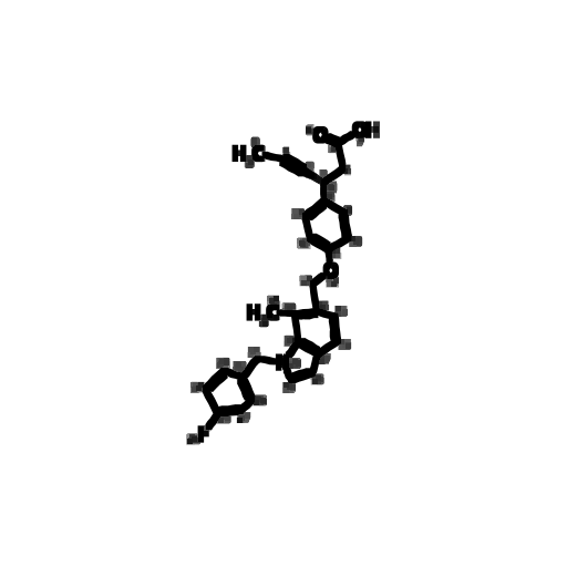 CC#C[C@@H](CC(=O)O)c1ccc(OCc2ccc3ccn(Cc4ccc(F)cc4)c3c2C)cc1